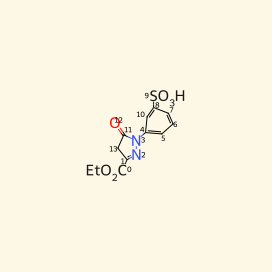 CCOC(=O)C1=NN(c2cccc(S(=O)(=O)O)c2)C(=O)C1